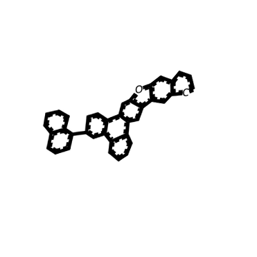 c1ccc2cc3c(cc2c1)oc1cc2c4ccc(-c5cccc6ccccc56)cc4c4ccccc4c2cc13